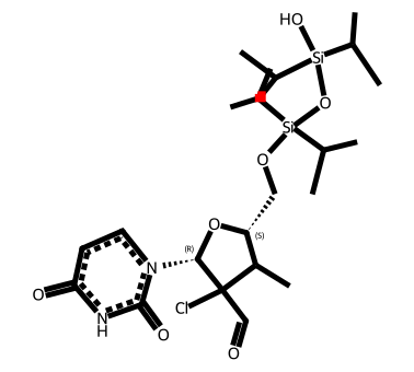 CC1[C@@H](CO[Si](O[Si](O)(C(C)C)C(C)C)(C(C)C)C(C)C)O[C@@H](n2ccc(=O)[nH]c2=O)C1(Cl)C=O